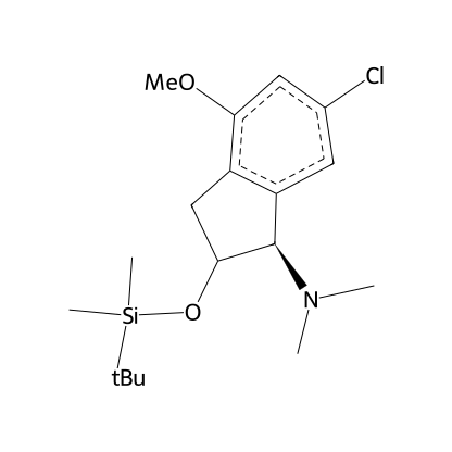 COc1cc(Cl)cc2c1CC(O[Si](C)(C)C(C)(C)C)[C@@H]2N(C)C